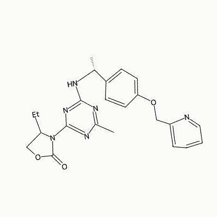 CCC1COC(=O)N1c1nc(C)nc(N[C@H](C)c2ccc(OCc3ccccn3)cc2)n1